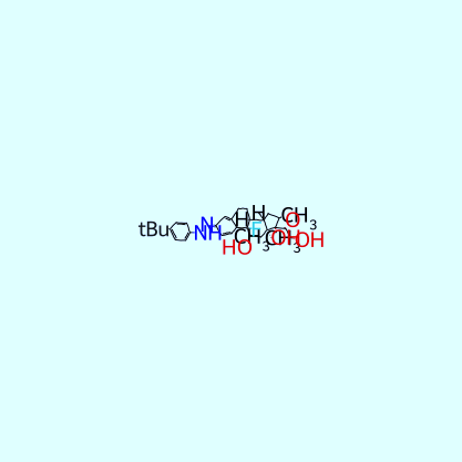 C[C@@H]1C[C@H]2[C@@H]3CCC4=C/C(=N/Nc5ccc(C(C)(C)C)cc5)C=C[C@]4(C)[C@@]3(F)[C@@H](O)C[C@]2(C)[C@@]1(O)C(=O)CO